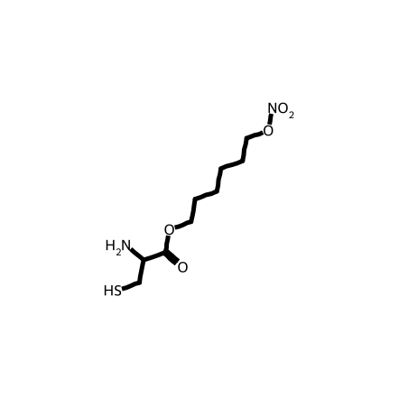 NC(CS)C(=O)OCCCCCCO[N+](=O)[O-]